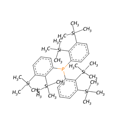 C[Si](C)(C)c1cccc(P(c2cccc([Si](C)(C)C)c2[Si](C)(C)C)c2cccc([Si](C)(C)C)c2[Si](C)(C)C)c1[Si](C)(C)C